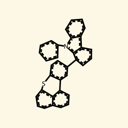 c1ccc(-n2c3ccccc3c3cccc(-c4ccc5c(c4)-c4cccc6cccc(c46)S5)c32)cc1